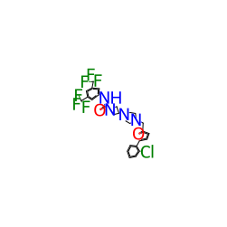 O=C(Nc1cc(C(F)(F)F)cc(C(F)(F)F)c1)N1CC(N2CCN(Cc3ccc(-c4ccccc4Cl)o3)CC2)C1